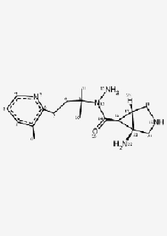 Cc1cccnc1CCC(C)(C)N(N)C(=O)[C@H]1[C@@H]2CNC[C@@]21N